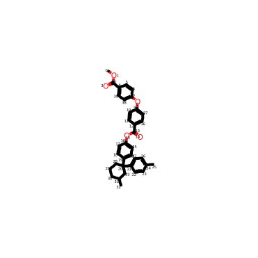 COC(=O)c1ccc(Oc2ccc(C(=O)Oc3ccc(C4(c5ccc(C)cc5)CCCC(C)C4)cc3)cc2)cc1